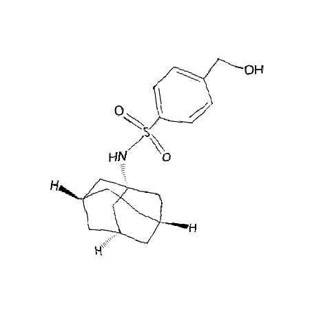 O=S(=O)(N[C@]12C[C@H]3C[C@H](C[C@H](C3)C1)C2)c1ccc(CO)cc1